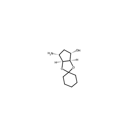 N[C@@H]1C[C@H](O)[C@H]2OC3(CCCCC3)O[C@H]21